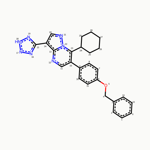 c1ccc(COc2ccc(-c3cnc4c(-c5nn[nH]n5)cnn4c3C3CCCCC3)cc2)cc1